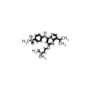 CC(C)c1cnn2c(Nc3ccc(S(C)(=O)=O)cc3)cc(OCCN(C)C)nc12